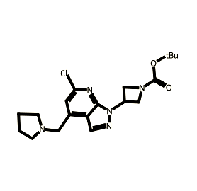 CC(C)(C)OC(=O)N1CC(n2ncc3c(CN4CCCC4)cc(Cl)nc32)C1